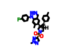 Cc1ccc([C@@H]2[C@@H]3CN(S(=O)(=O)c4cnn(C)n4)C[C@]23c2cc(C=N)c(Nc3ccc(F)cc3)cc2C)cc1